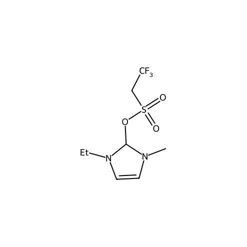 CCN1C=CN(C)C1OS(=O)(=O)CC(F)(F)F